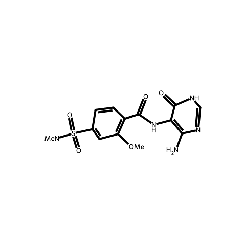 CNS(=O)(=O)c1ccc(C(=O)Nc2c(N)nc[nH]c2=O)c(OC)c1